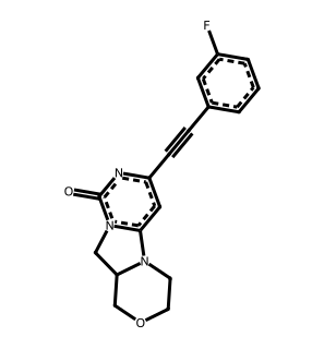 O=c1nc(C#Cc2cccc(F)c2)cc2n1CC1COCCN21